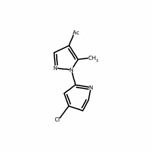 CC(=O)c1cnn(-c2cc(Cl)ccn2)c1C